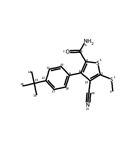 CSc1sc(C(N)=O)c(-c2ccc(C(C)(C)C)cc2)c1C#N